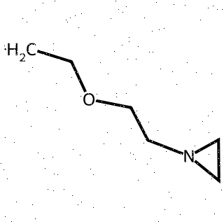 [CH2]COCCN1CC1